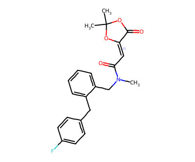 CN(Cc1ccccc1Cc1ccc(F)cc1)C(=O)/C=C1\OC(C)(C)OC1=O